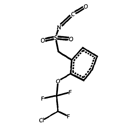 O=C=NS(=O)(=O)Cc1ccccc1OC(F)(F)C(F)Cl